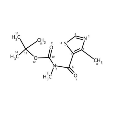 Cc1n[c]sc1C(=O)N(C)C(=O)OC(C)(C)C